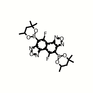 CC1CC(C)(C)OB(c2c(F)c3c4nonc4c(B4OC(C)CC(C)(C)O4)c(F)c3c3nonc23)O1